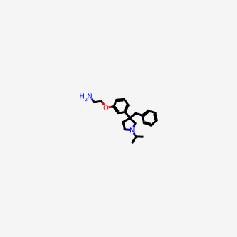 CC(C)N1CCC(Cc2ccccc2)(c2cccc(OCCN)c2)C1